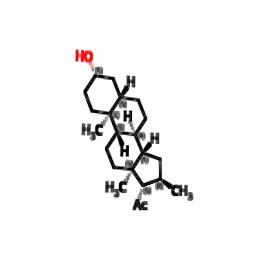 CC(=O)[C@H]1[C@H](C)C[C@H]2[C@@H]3CC[C@H]4C[C@@H](O)CC[C@]4(C)[C@H]3CC[C@@]21C